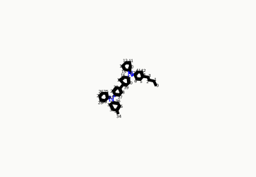 CCCCc1ccc(N(c2ccccc2)c2ccc(-c3ccc(N(c4ccccc4)c4ccc(C)cc4)cc3)cc2)cc1